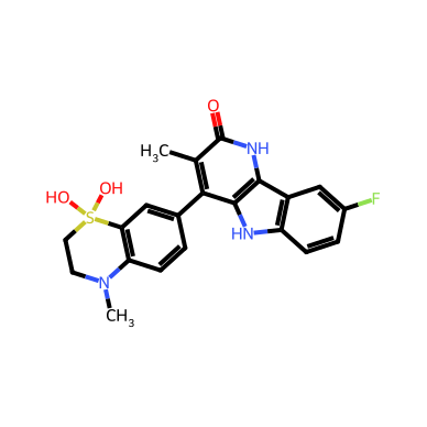 Cc1c(-c2ccc3c(c2)S(O)(O)CCN3C)c2[nH]c3ccc(F)cc3c2[nH]c1=O